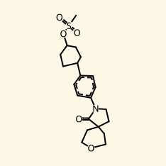 CS(=O)(=O)OC1CCC(c2ccc(N3CCC4(CCOCC4)C3=O)cc2)CC1